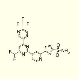 NS(=O)(=O)c1ccc(-c2cc(-c3nc(-c4ccc(C(F)(F)F)nc4)cc(C(F)F)n3)ccn2)s1